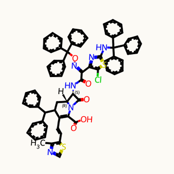 Cc1ncsc1C=CC1=C(C(=O)O)N2C(=O)[C@@H](NC(=O)C(=NOC(c3ccccc3)(c3ccccc3)c3ccccc3)c3nc(NC(c4ccccc4)(c4ccccc4)c4ccccc4)sc3Cl)[C@H]2CC1C(c1ccccc1)c1ccccc1